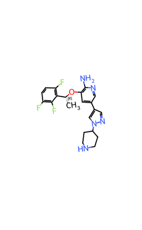 C[C@@H](Oc1cc(-c2cnn(C3CCNCC3)c2)cnc1N)c1c(F)ccc(F)c1F